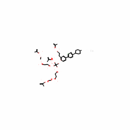 C=C(C)C(=O)OCCCc1cc(-c2ccc(C3CCC(CCCCC)CC3)cc2F)ccc1OCC(COC(=O)CCC(=O)OCCOC(=O)C(=C)C)(COC(=O)CCC(=O)OCCOC(=O)C(=C)C)COC(=O)C(=C)C